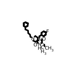 CC(C)C[C@@H]1NC(=O)C2(CCN(CCCCCc3ccccc3)CC2)N(Cc2ccc(F)cc2)C1=O